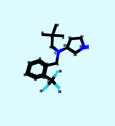 CC(C)(C)CN(Cc1ccccc1C(F)(F)F)[C@H]1CCNC1